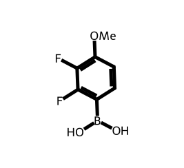 COc1ccc(B(O)O)c(F)c1F